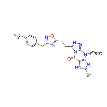 CCCCCn1c2nc(Br)[nH]c2c(=O)n2c(CCc3nc(Cc4ccc(C(F)(F)F)cc4)no3)nnc12